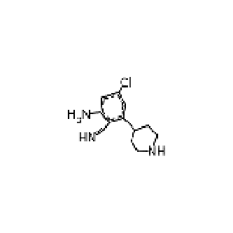 N=Cc1c(N)cc(Cl)cc1C1CCNCC1